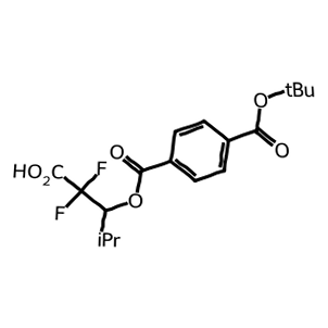 CC(C)C(OC(=O)c1ccc(C(=O)OC(C)(C)C)cc1)C(F)(F)C(=O)O